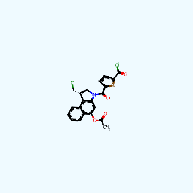 CC(=O)Oc1cc2c(c3ccccc13)[C@H](CCl)CN2C(=O)c1ccc(C(=O)Cl)s1